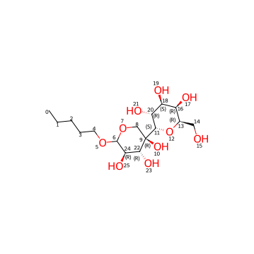 CCCCCOC1OC[C@](O)([C@H]2O[C@H](CO)[C@H](O)[C@H](O)[C@H]2O)[C@H](O)[C@H]1O